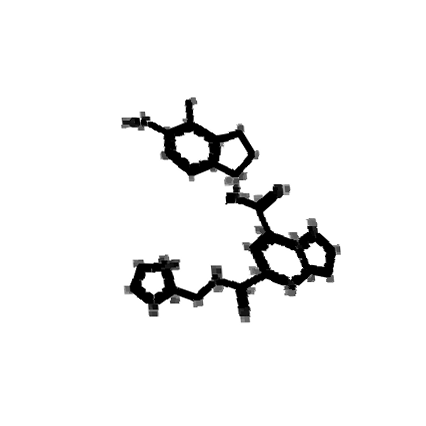 Cc1c(C(=O)O)ccc2c1CC[C@@H]2NC(=O)c1cc(C(=O)NCc2ncc[nH]2)nc2ccnn12